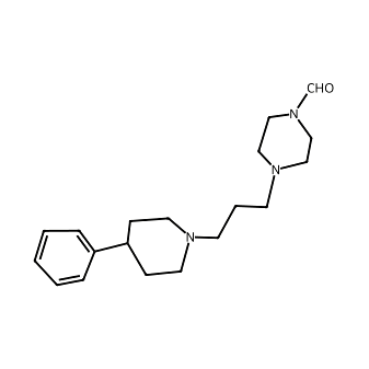 O=CN1CCN(CCCN2CCC(c3ccccc3)CC2)CC1